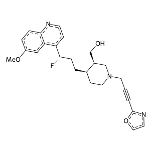 COc1ccc2nccc([C@@H](F)CC[C@@H]3CCN(CC#Cc4ncco4)C[C@@H]3CO)c2c1